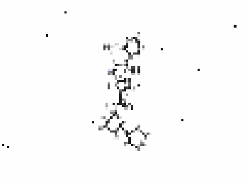 Cc1ncccc1C(=N)/C=C\c1ncc(C(=O)Nc2cccc(N3CCOCC3)n2)[nH]1